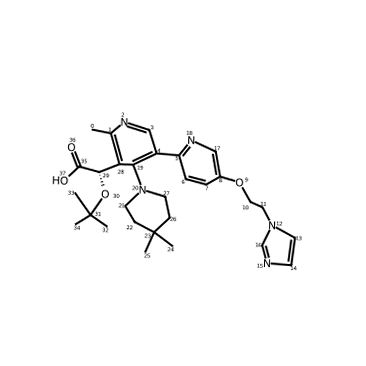 Cc1ncc(-c2ccc(OCCn3ccnc3)cn2)c(N2CCC(C)(C)CC2)c1[C@H](OC(C)(C)C)C(=O)O